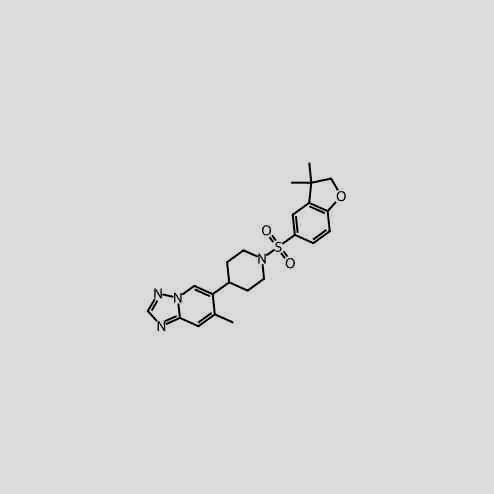 Cc1cc2ncnn2cc1C1CCN(S(=O)(=O)c2ccc3c(c2)C(C)(C)CO3)CC1